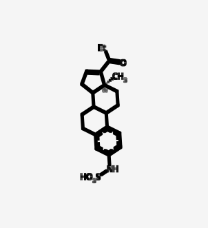 CCC(=O)C1=CCC2C3CCc4cc(NS(=O)(=O)O)ccc4C3CC[C@]12C